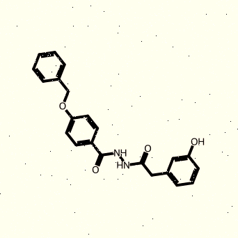 O=C(Cc1cccc(O)c1)NNC(=O)c1ccc(OCc2ccccc2)cc1